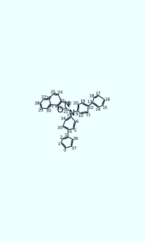 c1ccc(-c2ccc(N(c3ccc(-c4ccccc4)cc3)c3nc4ccc5ccccc5c4o3)cc2)cc1